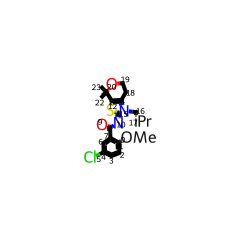 COc1ccc(Cl)cc1C(=O)N=c1sc2c(n1CC(C)C)CCOC2(C)C